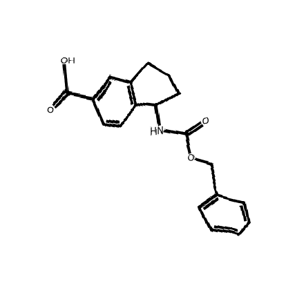 O=C(NC1CCCc2cc(C(=O)O)ccc21)OCc1ccccc1